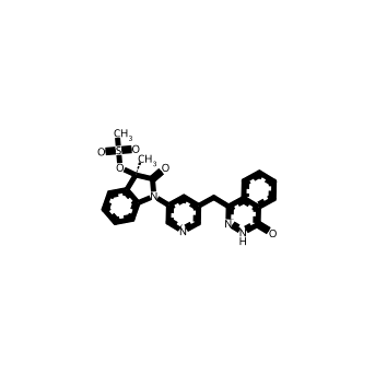 C[C@]1(OS(C)(=O)=O)C(=O)N(c2cncc(Cc3n[nH]c(=O)c4ccccc34)c2)c2ccccc21